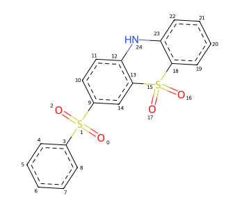 O=S(=O)(c1ccccc1)c1ccc2c(c1)S(=O)(=O)c1ccccc1N2